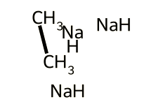 CC.[NaH].[NaH].[NaH]